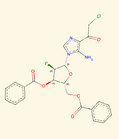 Nc1c(C(=O)CCl)ncn1[C@@H]1O[C@H](COC(=O)c2ccccc2)[C@@H](OC(=O)c2ccccc2)[C@H]1F